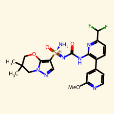 COc1cc(-c2ccc(C(F)F)nc2NC(=O)N=[S@@](N)(=O)c2cnn3c2OCC(C)(C)C3)ccn1